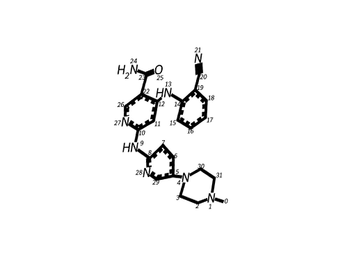 CN1CCN(c2ccc(Nc3cc(Nc4ccccc4C#N)c(C(N)=O)cn3)nc2)CC1